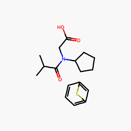 CC(C)C(=O)N(CC(=O)O)C1CCCC1.c1cc2cc(c1)S2